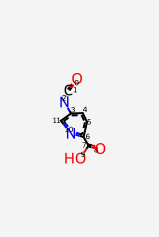 O=C=Nc1ccc(C(=O)O)nc1